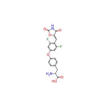 NC(Cc1ccc(Oc2cc(F)c(C=C3OC(=O)NC3=O)c(F)c2)cc1)C(=O)O